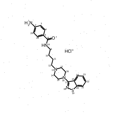 Cl.Nc1ccc(C(=O)NCCCCN2CCN(c3nsc4ccccc34)CC2)cc1